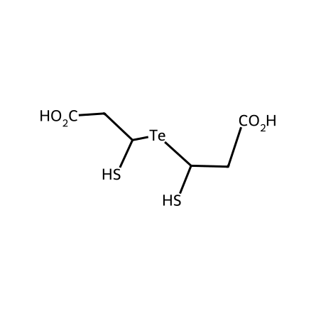 O=C(O)CC(S)[Te]C(S)CC(=O)O